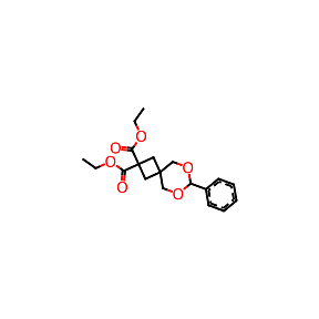 CCOC(=O)C1(C(=O)OCC)CC2(COC(c3ccccc3)OC2)C1